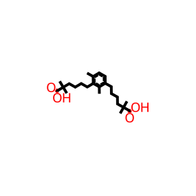 Cc1ccc(CCCCC(C)(C)C(=O)O)c(C)c1CCCCC(C)(C)C(=O)O